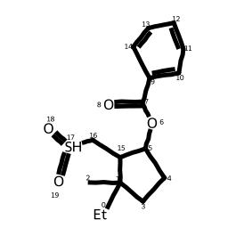 CCC1(C)CCC(OC(=O)c2ccccc2)C1C[SH](=O)=O